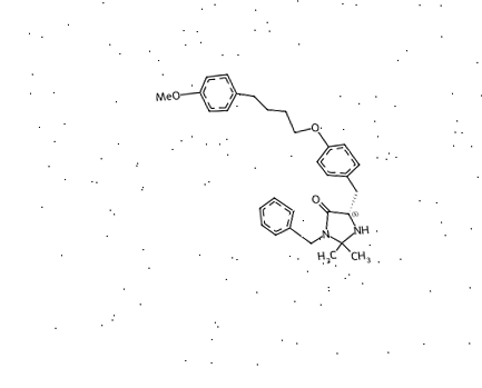 COc1ccc(CCCCOc2ccc(C[C@@H]3NC(C)(C)N(Cc4ccccc4)C3=O)cc2)cc1